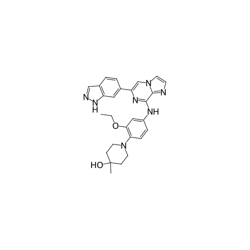 CCOc1cc(Nc2nc(-c3ccc4cn[nH]c4c3)cn3ccnc23)ccc1N1CCC(C)(O)CC1